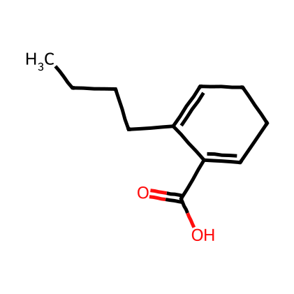 CCCCC1=CCCC=C1C(=O)O